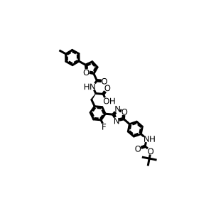 Cc1ccc(-c2ccc(C(=O)N[C@H](Cc3ccc(F)c(-c4noc(-c5ccc(NC(=O)OC(C)(C)C)cc5)n4)c3)C(=O)O)o2)cc1